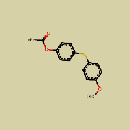 CCCC(=O)Oc1ccc(Sc2ccc(OC=O)cc2)cc1